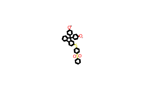 COc1ccc(C2(c3ccc(OC)cc3)c3ccccc3-c3ccc(Sc4ccc(S(=O)(=O)c5ccccc5)cc4)cc32)cc1